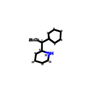 CC(C)COC(C1CCCCC1)C1CCCCN1